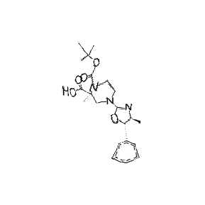 C[C@@H]1N=C(N2CCN(C(=O)OC(C)(C)C)[C@](C)(C(=O)O)C2)O[C@H]1c1ccccc1